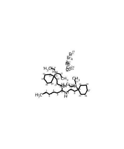 CCCCCC(NCCC1([16N](CC)CC)CCCCC1)NCCC1([16N](CC)CC)CCCCC1.[Br-].[Br-].[Br-].[Br-].[Cu+2].[Cu+2]